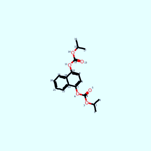 CC(C)OC(=O)Oc1ccc(OC(=O)OC(C)C)c2ccccc12